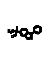 CC(F)(C=O)c1ccc2c(cnn2-c2ccccc2)c1